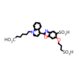 O=C(O)CCCCC[n+]1ccc(-c2nc3cc(S(=O)(=O)O)c(OCCCS(=O)(=O)O)cc3o2)c2ccccc21